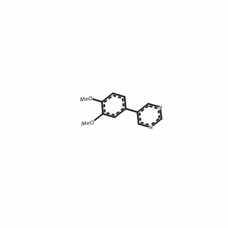 COc1ccc(-c2cn[c]nc2)cc1OC